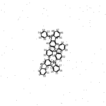 C1=CC2Sc3ccc4c(c3C2C=C1)c1ccccc1n4-c1cccc([Si](c2ccccc2)(c2ccccc2)c2ccc3c(c2)c2ccccc2n3-c2ccccc2)c1